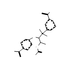 C=C(C)c1ccc(OC(C(C)NC(=O)O)C(C)(C)c2cccc(C(=C)C)c2)cc1